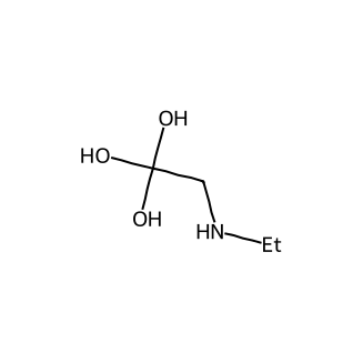 CCNCC(O)(O)O